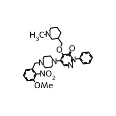 COc1cccc(CN2CCN(c3cnn(-c4ccccc4)c(=O)c3OCC3CCCN(C)C3)CC2)c1[N+](=O)[O-]